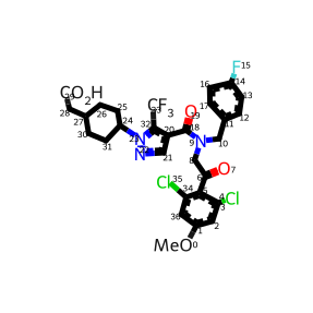 COc1cc(Cl)c(C(=O)CN(Cc2ccc(F)cc2)C(=O)c2cnn(C3CCC(CC(=O)O)CC3)c2C(F)(F)F)c(Cl)c1